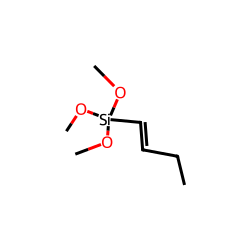 CC/C=C/[Si](OC)(OC)OC